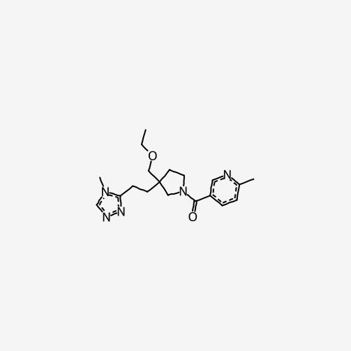 CCOCC1(CCc2nncn2C)CCN(C(=O)c2ccc(C)nc2)C1